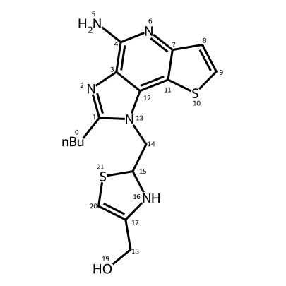 CCCCc1nc2c(N)nc3ccsc3c2n1CC1NC(CO)=CS1